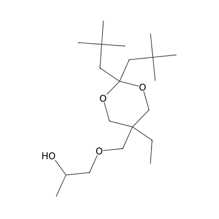 CCC1(COCC(C)O)COC(CC(C)(C)C)(CC(C)(C)C)OC1